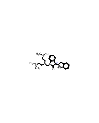 CN(C)CCN(CCN(C)C)CN1C(=O)/C(=C2/Cc3ccccc3N2)c2ccccc21